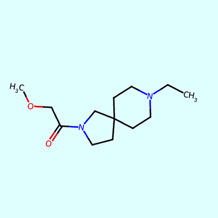 CCN1CCC2(CC1)CCN(C(=O)COC)C2